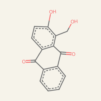 O=C1c2ccccc2C(=O)c2c1ccc(O)c2CO